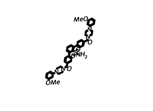 COc1cccc(N2CCN(C(=O)c3ccc(-c4cccc(-c5ccc(C(=O)N6CCN(c7cccc(OC)c7)CC6)cc5)c4S(N)(=O)=O)cc3)CC2)c1